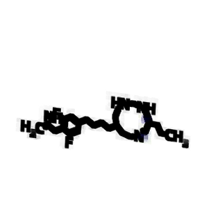 C=C(N)Cc1c(F)cc(CCCCC2CC/N=C\C(CCC)=C/NCNCC2)cc1F